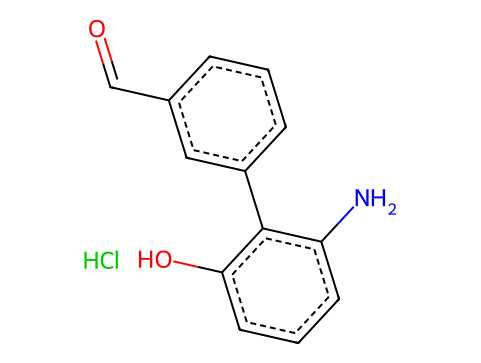 Cl.Nc1cccc(O)c1-c1cccc(C=O)c1